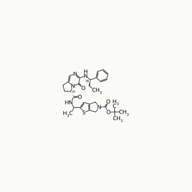 CC[C@@H](Nc1ncc2n(c1=O)[C@H](C(=O)NC(C)c1cc3c(s1)CN(C(=O)OC(C)(C)C)C3)CC2)c1ccccc1